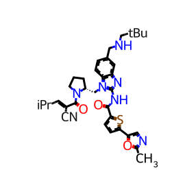 Cc1ncc(-c2ccc(C(=O)Nc3nc4cc(CNCC(C)(C)C)ccc4n3C[C@H]3CCCN3C(=O)C(C#N)=CC(C)C)s2)o1